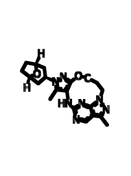 Cc1nn2c3nc(ncc13)Nc1c(nn([C@@H]3C[C@H]4CC[C@@H](C3)O4)c1C)OCCC2